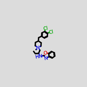 CCC(C[N+]1(C)CCC(Cc2ccc(Cl)c(Cl)c2)CC1)Nc1nc2ccccc2o1